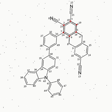 N#Cc1ccc2c(c1)C1c3cc(C#N)ccc3C2c2cc(C#N)cc(-c3cccc(-c4ccc5c(c4)c4ccccc4n5-c4ccccc4)c3)c21